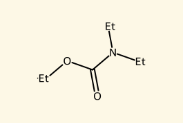 C[CH]OC(=O)N(CC)CC